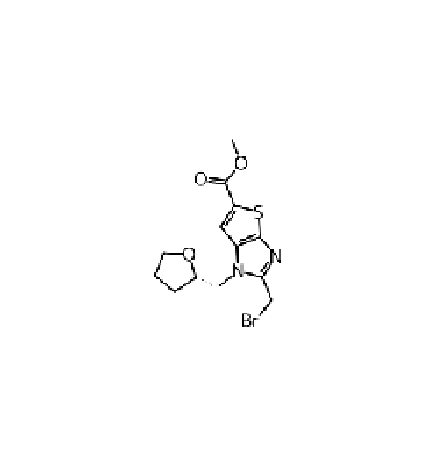 COC(=O)c1cc2c(nc(CBr)n2C[C@@H]2CCCO2)s1